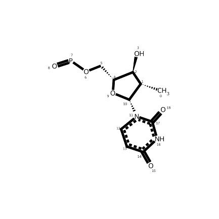 C[C@H]1[C@H](O)[C@@H](COP=O)O[C@H]1n1ccc(=O)[nH]c1=O